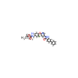 CC(C)(C)OC(=O)NCc1ccc(Oc2ccc(NC(=O)c3ccc(-c4ccccc4)cc3)cn2)c(F)c1